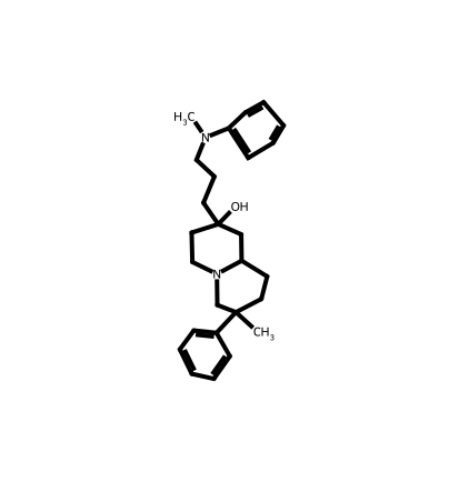 CN(CCCC1(O)CCN2CC(C)(c3ccccc3)CCC2C1)c1ccccc1